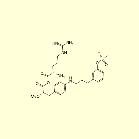 CO[C@@H](Cc1ccc(NCCCc2cccc(OS(C)(=O)=O)c2)cc1)C(=O)OC(=O)[C@@H](N)CCCNC(=N)N